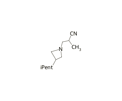 CCCC(C)C1CN(CC(C)C#N)C1